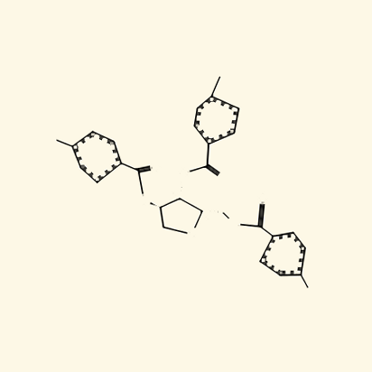 Cc1ccc(C(=O)OC[C@@H]2SC[C@@H](OC(=O)c3ccc(C)cc3)[C@@H]2OC(=O)c2ccc(C)cc2)cc1